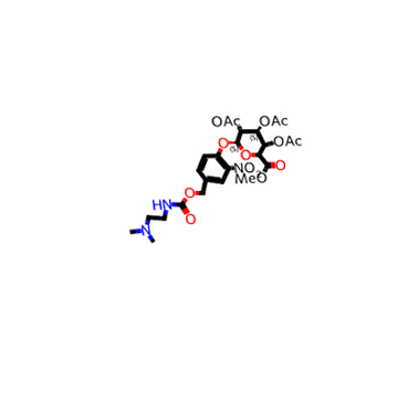 COC(=O)C1O[C@@H](Oc2ccc(COC(=O)NCCN(C)C)cc2[N+](=O)[O-])C(OC(C)=O)[C@@H](OC(C)=O)C1OC(C)=O